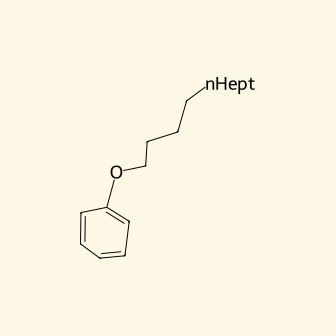 CCCCCCCCCCCOc1ccccc1